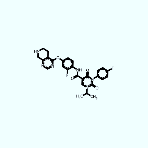 CC(C)n1cc(C(=O)Nc2ccc(Oc3ncnc4c3CCNC4)cc2F)c(=O)n(-c2ccc(F)cc2)c1=O